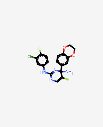 NC1(c2ccc3c(c2)OCCO3)N=C(Nc2ccc(F)c(Cl)c2)NC=C1F